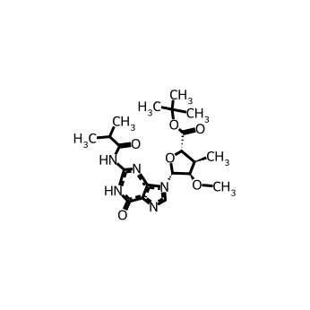 CO[C@@H]1[C@H](C)[C@@H](C(=O)OC(C)(C)C)O[C@H]1n1cnc2c(=O)[nH]c(NC(=O)C(C)C)nc21